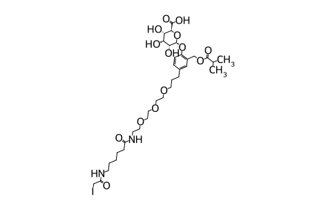 CC(C)C(=O)OCc1cc(CCCOCCOCCOCCNC(=O)CCCCCNC(=O)CI)ccc1O[C@@H]1O[C@H](C(=O)O)[C@@H](O)[C@H](O)[C@H]1O